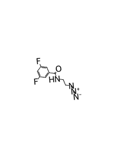 [N-]=[N+]=NCCNC(=O)c1cc(F)cc(F)c1